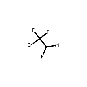 FC(Cl)C(F)(F)Br